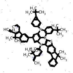 C#CC1=C(/C=C\C)c2cc(-c3cc4c5c(c3)N(C(=C)/C=C\C(=C/C)C(C)(C)C)c3c(sc6cc7c(cc36)-c3ccccc3C7(C)C)B5c3cc(C(C)(C)C)ccc3N4C3=CC4=C(C(C)(C)C)C4C=C3)ccc2C1(C)C